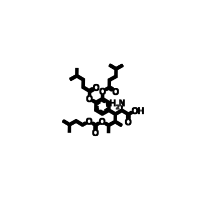 CC(C)CCOC(=O)OC(C)C(C)C(c1ccc(OC(=O)CCC(C)C)c(OC(=O)CCC(C)C)c1)[C@H](N)C(=O)O